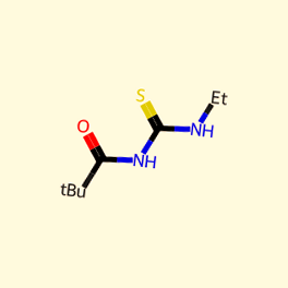 CCNC(=S)NC(=O)C(C)(C)C